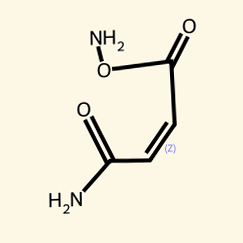 NOC(=O)/C=C\C(N)=O